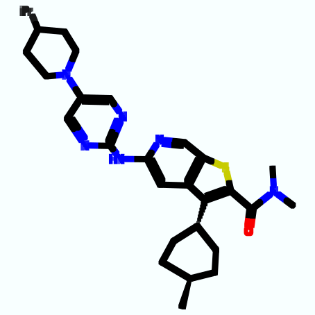 CC(C)C1CCN(c2cnc(Nc3cc4c(cn3)sc(C(=O)N(C)C)c4[C@H]3CC[C@H](C)CC3)nc2)CC1